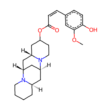 COc1cc(/C=C\C(=O)OC2CCN3[C@@H]4C[C@@H](C[C@@H]3C2)N2CCCC[C@@H]2C4)ccc1O